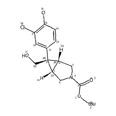 CC(C)(C)OC(=O)N1C[C@@H]2[C@H](C1)[C@]2(CO)c1ccc(Cl)c(Cl)c1